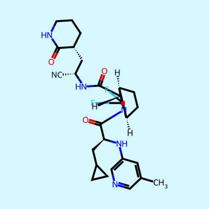 Cc1cncc(N[C@@H](CC2CC2)C(=O)N2[C@@H]3CC[C@H]([C@H]2C(=O)N[C@H](C#N)C[C@H]2CCCNC2=O)C(F)(F)C3)c1